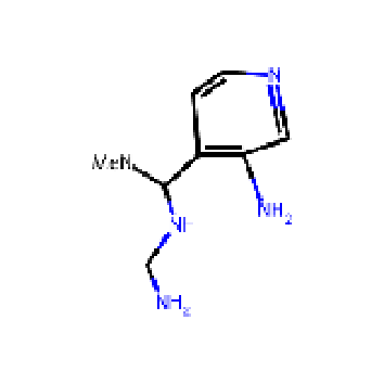 CNC(NCN)c1ccncc1N